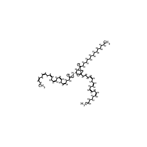 CC/C=C\C/C=C\C/C=C\C/C=C\C/C=C\C/C=C\CCC(=O)OC[C@H](COC(=O)CCCCCCCCCCCCCC)OC(=O)CCC/C=C\C/C=C\C/C=C\C/C=C\CCCCC